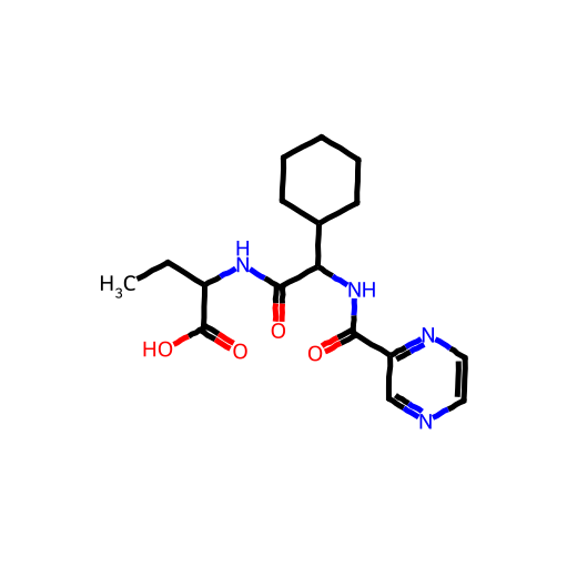 CCC(NC(=O)C(NC(=O)c1cnccn1)C1CCCCC1)C(=O)O